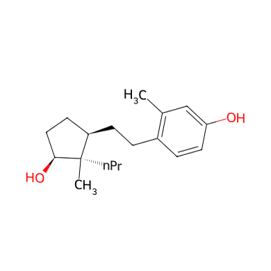 CCC[C@@]1(C)[C@H](CCc2ccc(O)cc2C)CC[C@@H]1O